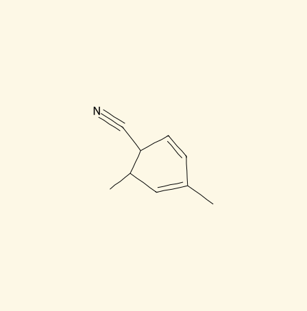 CC1=CC(C)C(C#N)C=C1